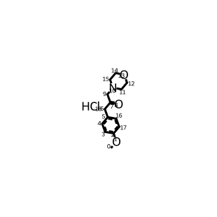 COc1ccc(CC(=O)CN2CCOCC2)cc1.Cl